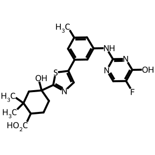 Cc1cc(Nc2ncc(F)c(O)n2)cc(-c2cnc(C3(O)CCC(C(=O)O)C(C)(C)C3)s2)c1